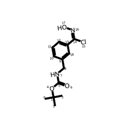 CC(C)(C)OC(=O)NCc1cccc(/C(Cl)=N\O)c1